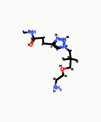 CNC(=O)CCc1cn(CC(C)(C)COCCN)nn1